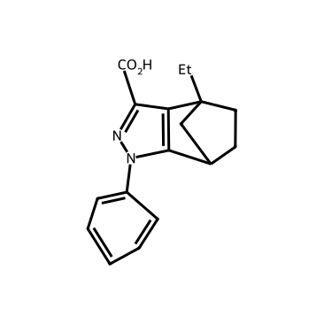 CCC12CCC(C1)c1c2c(C(=O)O)nn1-c1ccccc1